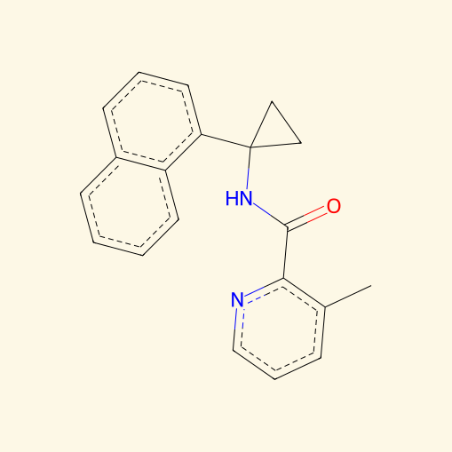 Cc1cccnc1C(=O)NC1(c2cccc3ccccc23)CC1